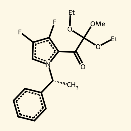 CCOC(OC)(OCC)C(=O)c1c(F)c(F)cn1[C@H](C)c1ccccc1